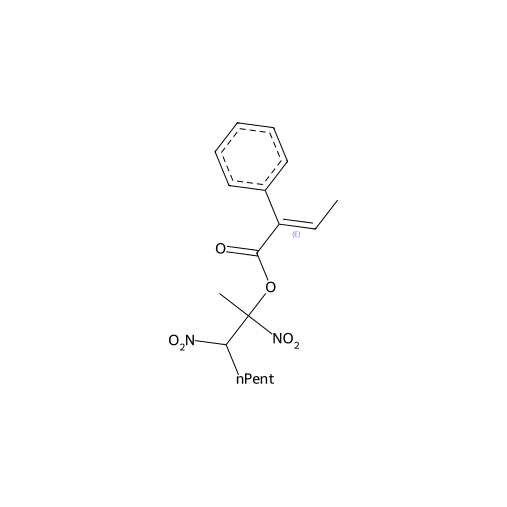 C/C=C(/C(=O)OC(C)(C(CCCCC)[N+](=O)[O-])[N+](=O)[O-])c1ccccc1